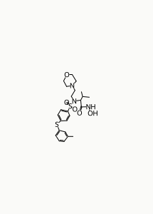 Cc1cccc(Sc2ccc(S(=O)(=O)N(CCN3CCOCC3)C(C(=O)NO)C(C)C)cc2)c1